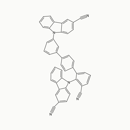 N#Cc1ccc2c(c1)c1ccccc1n2-c1cccc(-c2ccc(-c3cccc(C#N)c3-n3c4ccccc4c4cc(C#N)ccc43)cc2)c1